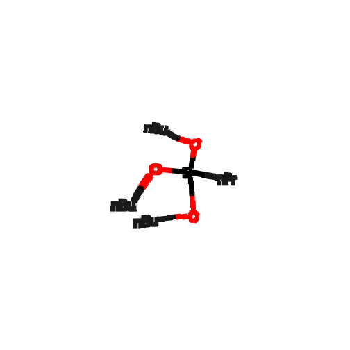 [CH2]CC[Si](OCCCC)(OCCCC)OCCCC